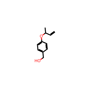 C=CC(C)Oc1ccc(CO)cc1